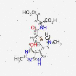 Cc1nc(O)c2c(C(CN(C)C)c3ccc(C(=O)N[C@@H](CCC(=O)O)C(=O)O)s3)c[nH]c2n1